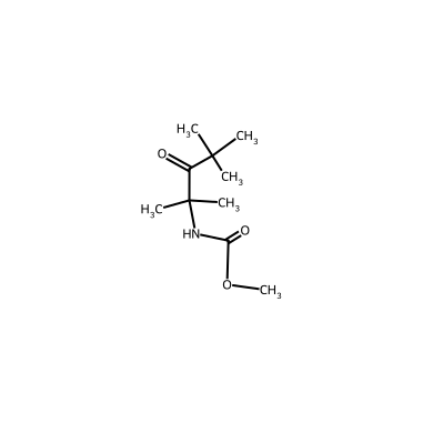 COC(=O)NC(C)(C)C(=O)C(C)(C)C